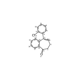 O=C1CCN=C(c2ccccc2Cl)c2ccccc21